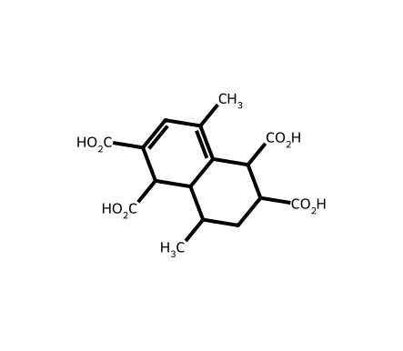 CC1=C2C(C(=O)O)C(C(=O)O)CC(C)C2C(C(=O)O)C(C(=O)O)=C1